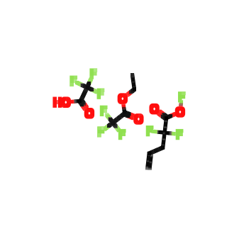 C=CCC(F)(F)C(=O)OF.CCOC(=O)C(F)(F)F.O=C(O)C(F)(F)F